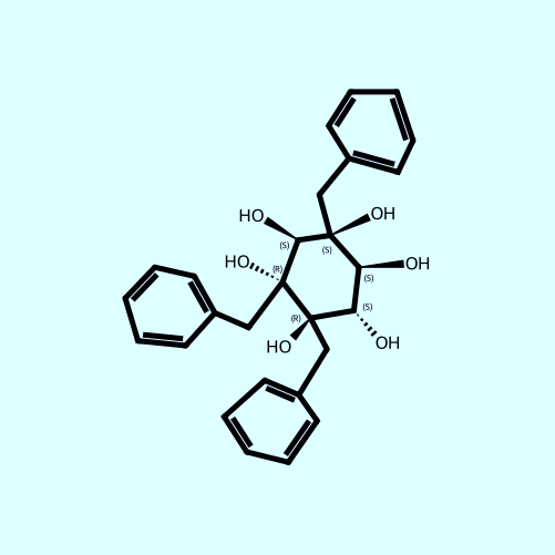 O[C@H]1[C@H](O)[C@](O)(Cc2ccccc2)[C@@](O)(Cc2ccccc2)[C@@H](O)[C@]1(O)Cc1ccccc1